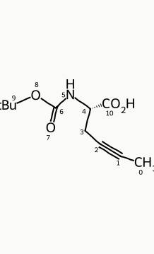 CC#CC[C@H](NC(=O)OC(C)(C)C)C(=O)O